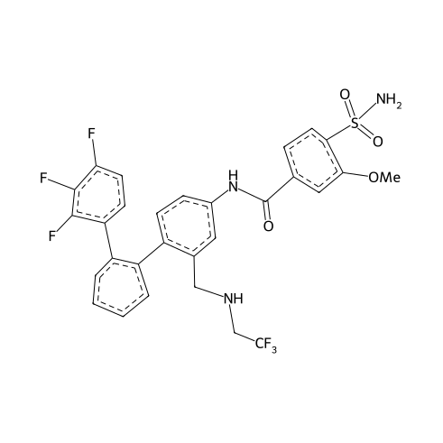 COc1cc(C(=O)Nc2ccc(-c3ccccc3-c3ccc(F)c(F)c3F)c(CNCC(F)(F)F)c2)ccc1S(N)(=O)=O